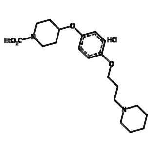 CCOC(=O)N1CCC(Oc2ccc(OCCCN3CCCCC3)cc2)CC1.Cl